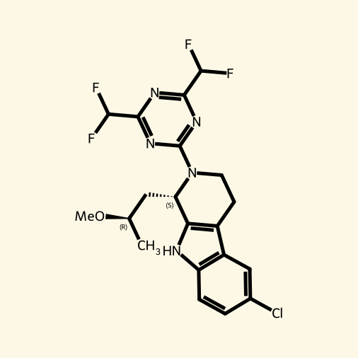 CO[C@H](C)C[C@H]1c2[nH]c3ccc(Cl)cc3c2CCN1c1nc(C(F)F)nc(C(F)F)n1